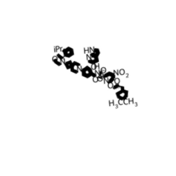 CC(C)c1ccccc1[C@H]1COCCN1C1CC2(CCN(c3ccc(C(=O)NS(=O)(=O)c4cc([N+](=O)[O-])c5c(n4)OC[C@H](CC4CCC(C)(C)CC4)O5)c(Oc4cnc5[nH]ccc5c4)c3)CC2)C1